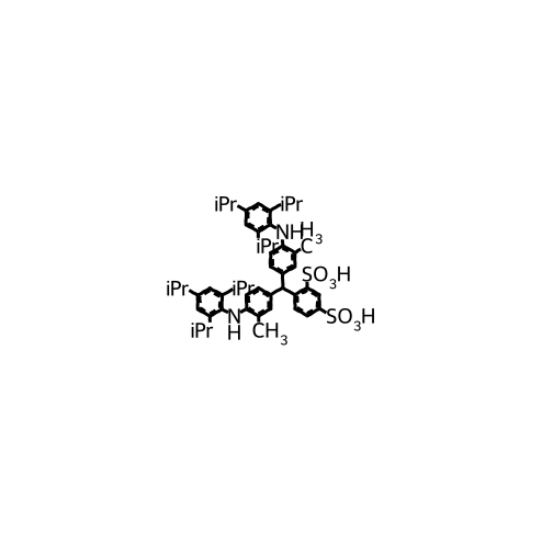 Cc1cc(C(c2ccc(Nc3c(C(C)C)cc(C(C)C)cc3C(C)C)c(C)c2)c2ccc(S(=O)(=O)O)cc2S(=O)(=O)O)ccc1Nc1c(C(C)C)cc(C(C)C)cc1C(C)C